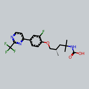 C[C@H](COc1ccc(-c2ccnc(C(F)(F)F)n2)cc1F)CC(C)(C)NC(=O)O